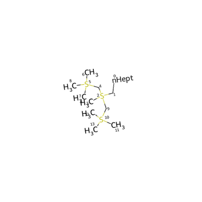 CCCCCCCCS(C)(CS(C)(C)C)CS(C)(C)C